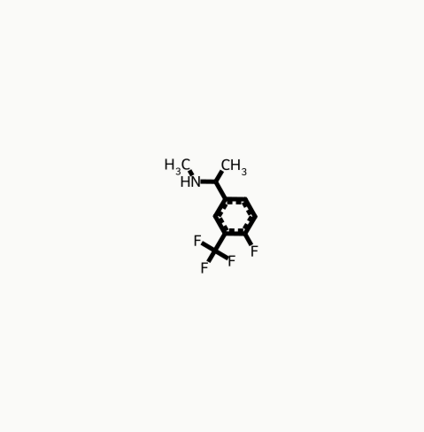 CNC(C)c1ccc(F)c(C(F)(F)F)c1